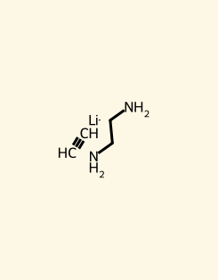 C#C.NCCN.[Li]